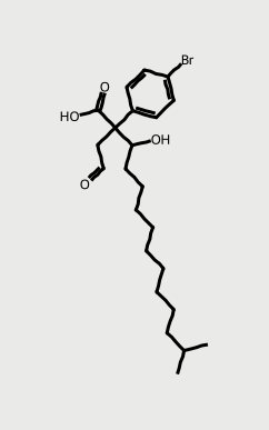 CC(C)CCCCCCCCCC(O)C(CC=O)(C(=O)O)c1ccc(Br)cc1